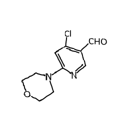 O=Cc1cnc(N2CCOCC2)cc1Cl